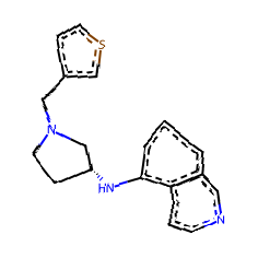 c1cc(N[C@@H]2CCN(Cc3ccsc3)C2)c2ccncc2c1